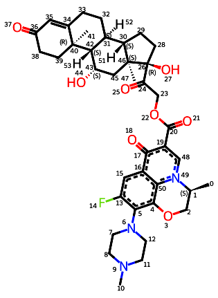 C[C@H]1COc2c(N3CCN(C)CC3)c(F)cc3c(=O)c(C(=O)OCC(=O)[C@@]4(O)CC[C@H]5[C@@H]6CCC7=CC(=O)CC[C@]7(C)[C@H]6[C@@H](O)C[C@@]54C)cn1c23